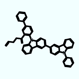 C=CCCC(=C)c1cc(-c2ccccc2)ccc1-n1c2ccccc2c2cc(-c3ccc4c(c3)c3ccccc3n4-c3ccccc3)ccc21